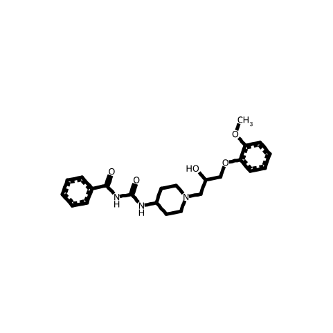 COc1ccccc1OCC(O)CN1CCC(NC(=O)NC(=O)c2ccccc2)CC1